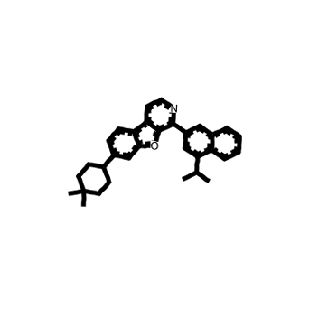 CC(C)c1cc(-c2nccc3c2oc2cc(C4CCC(C)(C)CC4)ccc23)cc2ccccc12